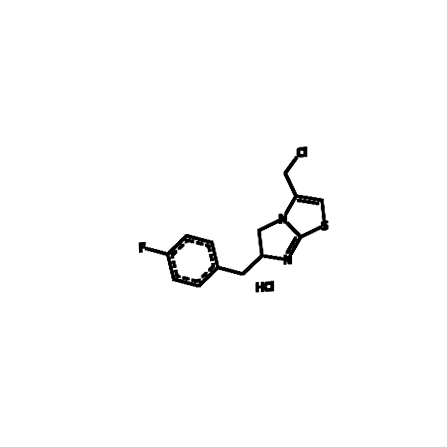 Cl.Fc1ccc(CC2CN3C(CCl)=CSC3=N2)cc1